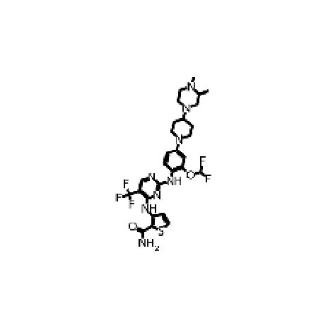 CC1CN(C2CCN(c3ccc(Nc4ncc(C(F)(F)F)c(Nc5ccsc5C(N)=O)n4)c(OC(F)F)c3)CC2)CCN1C